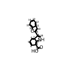 O=C(O)c1cccc2c(-c3cc4ccccc4o3)c[nH]c12